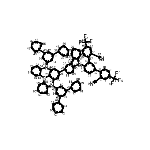 N#Cc1cc(C(F)(F)F)ccc1-c1ccc(-n2c3ccccc3c3cc(-c4cc5c6c(c4)N(c4cc(-c7ccccc7)cc(-c7ccccc7)c4)c4ccccc4B6c4ccccc4N5c4cc(-c5ccccc5)cc(-c5ccccc5)c4)ccc32)c(-c2ccc(C(F)(F)F)cc2C#N)c1